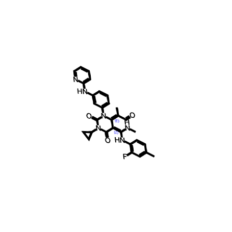 CN/C(Nc1ccc(C)cc1F)=c1/c(=O)n(C2CC2)c(=O)n(-c2cccc(Nc3ccccn3)c2)/c1=C(\C)C=O